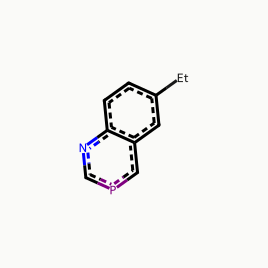 CCc1ccc2ncpcc2c1